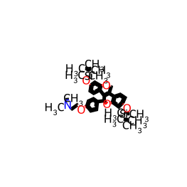 CN(C)CCOc1ccc(C2Oc3cc(O[Si](C)(C)C(C)(C)C)ccc3C3=C2c2ccc(O[Si](C)(C)C(C)(C)C)cc2OC3)cc1